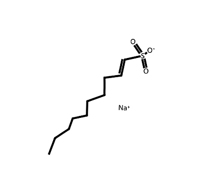 CCCCCCCCC=CS(=O)(=O)[O-].[Na+]